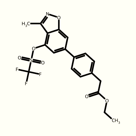 CCOC(=O)Cc1ccc(-c2cc(OS(=O)(=O)C(F)(F)F)c3c(C)noc3c2)cc1